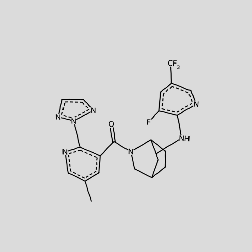 Cc1cnc(-n2nccn2)c(C(=O)N2CC3CCC2C(Nc2ncc(C(F)(F)F)cc2F)C3)c1